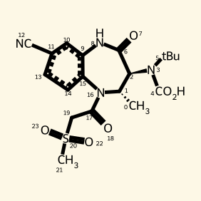 C[C@H]1[C@H](N(C(=O)O)C(C)(C)C)C(=O)Nc2cc(C#N)ccc2N1C(=O)CS(C)(=O)=O